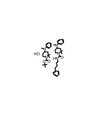 CN(c1ccccc1)C1CCN(C(=O)NCCCCc2ccccc2)C(C)(C)C1.CN(c1ccccc1)C1CCN(C(=O)OC(C)(C)C)C(C)(C)C1.Cl